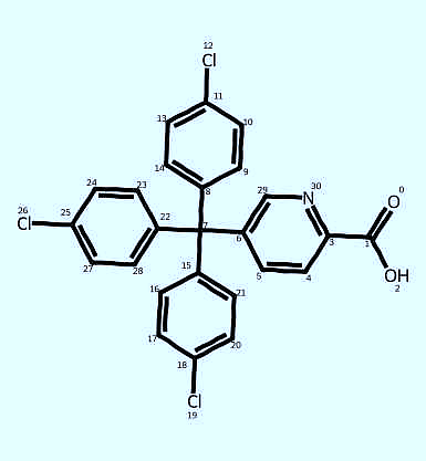 O=C(O)c1ccc(C(c2ccc(Cl)cc2)(c2ccc(Cl)cc2)c2ccc(Cl)cc2)cn1